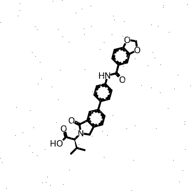 CC(C)[C@@H](C(=O)O)N1Cc2ccc(-c3ccc(NC(=O)c4ccc5c(c4)OCO5)cc3)cc2C1=O